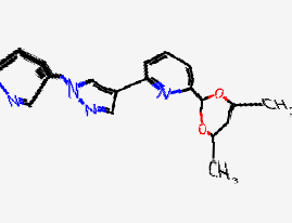 CC1CC(C)OC(c2cccc(-c3cnn(-c4cccnc4)c3)n2)O1